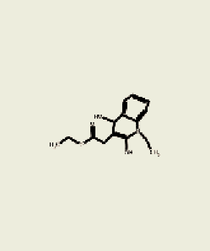 CCOC(=O)CC1=C(O)N(CC)c2ccccc2C1O